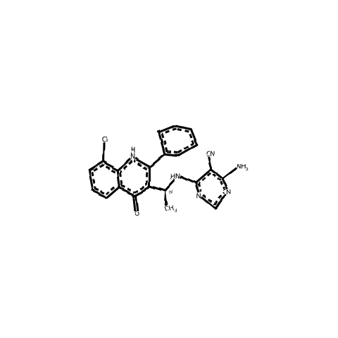 C[C@H](Nc1ncnc(N)c1C#N)c1c(-c2ccccc2)[nH]c2c(Cl)cccc2c1=O